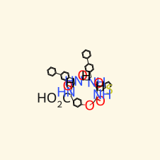 O=C1COc2ccc(cc2)C(C(=O)O)NC(=O)[C@H](Cc2ccc(-c3ccccc3)cc2)NC(=O)[C@@H](Cc2ccc(-c3ccccc3)cc2)NC(=O)[C@H](Cc2cccs2)N1